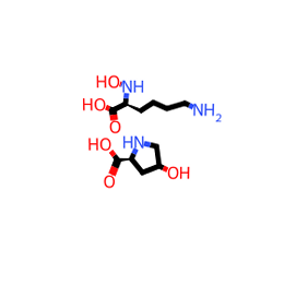 NCCCC[C@H](NO)C(=O)O.O=C(O)[C@@H]1CC(O)CN1